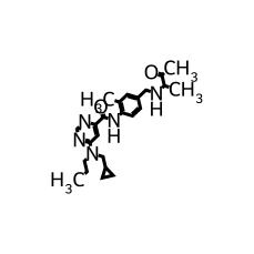 CCCN(CC1CC1)c1cc(C(=O)Nc2ccc(CNC(C)C(C)=O)cc2C)ncn1